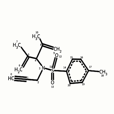 C#CCN(C(C(=C)C)C(=C)C)S(=O)(=O)c1ccc(C)cc1